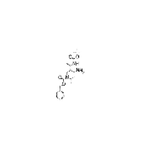 CC(C)N(CC(CN)[C@@H](C)NC(=O)OC(C)(C)C)C(=O)OCc1ccccc1